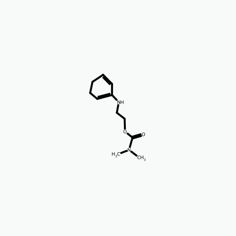 CN(C)C(=O)OCCNC1=CCCC=C1